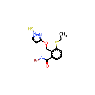 CCSc1cccc(C(=O)NBr)c1COc1ccn(S)n1